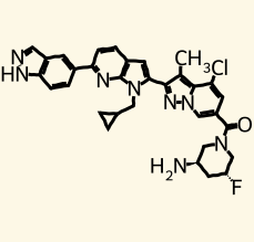 Cc1c(-c2cc3ccc(-c4ccc5[nH]ncc5c4)nc3n2CC2CC2)nn2cc(C(=O)N3C[C@H](N)C[C@@H](F)C3)cc(Cl)c12